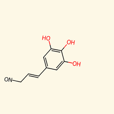 O=NC/C=C/c1cc(O)c(O)c(O)c1